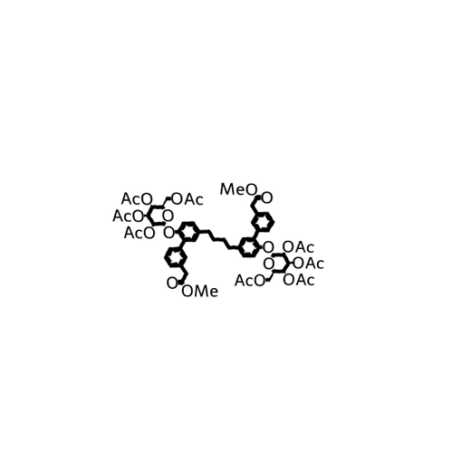 COC(=O)Cc1cccc(-c2cc(CCCCc3ccc(O[C@H]4O[C@H](COC(C)=O)[C@@H](OC(C)=O)[C@H](OC(C)=O)[C@@H]4OC(C)=O)c(-c4cccc(CC(=O)OC)c4)c3)ccc2O[C@H]2O[C@H](COC(C)=O)[C@@H](OC(C)=O)[C@H](OC(C)=O)[C@@H]2OC(C)=O)c1